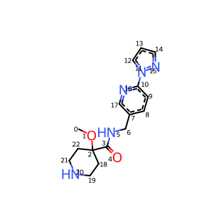 COC1(C(=O)NCc2ccc(-n3cccn3)nc2)CCNCC1